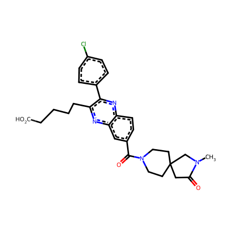 CN1CC2(CCN(C(=O)c3ccc4nc(-c5ccc(Cl)cc5)c(CCCCC(=O)O)nc4c3)CC2)CC1=O